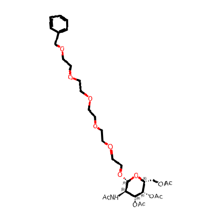 CC(=O)N[C@H]1[C@H](OCCOCCOCCOCCOCCOCc2ccccc2)O[C@H](COC(C)=O)[C@H](OC(C)=O)[C@@H]1OC(C)=O